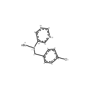 CCCCN(Cc1ccc(Cl)cc1)c1cncnc1